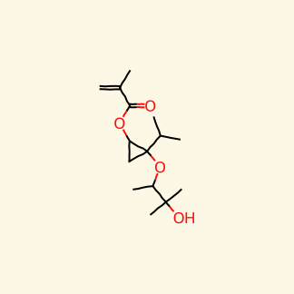 C=C(C)C(=O)OC1CC1(OC(C)C(C)(C)O)C(C)C